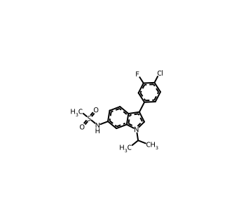 CC(C)n1cc(-c2ccc(Cl)c(F)c2)c2ccc(NS(C)(=O)=O)cc21